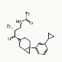 CCC(=O)NC[C@@H](CC)C(=O)N1CCC2(c3cccc(C4CC4)c3)CC2C1